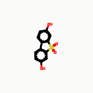 O=S1(=O)c2cc(O)ccc2-c2ccc(O)cc21